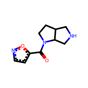 O=C(c1ccno1)N1CCC2CNCC21